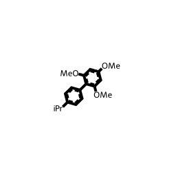 COc1cc(OC)c(-c2ccc(C(C)C)cc2)c(OC)c1